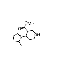 COC(=O)C1CNCCC1N1CCCC1C